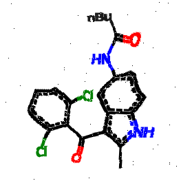 CCCCC(=O)Nc1ccc2[nH]c(C)c(C(=O)c3c(Cl)cccc3Cl)c2c1